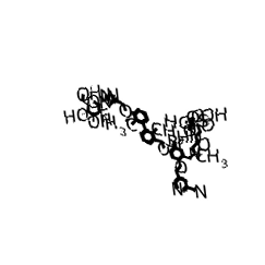 Cc1c(COc2cc(OCc3cncc(C#N)c3)c(CN(C)CC(=O)NCC(S(=O)(=O)O)S(=O)(=O)O)cc2Br)cccc1-c1cccc(OCc2cn([C@@H]3O[C@H](CO)[C@@H](O)[C@H](O)[C@H]3F)nn2)c1C